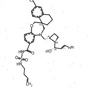 C=CCCNS(=O)(=O)NC(=O)c1ccc2c(c1)N(C[C@@H]1CC[C@H]1[C@@H](O)/C=C/CCC)C[C@@]1(CCCc3cc(Cl)ccc31)CO2